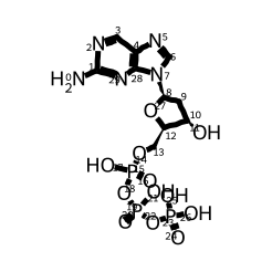 Nc1ncc2ncn([C@H]3C[C@H](O)[C@@H](COP(=O)(O)OP(=O)(O)OP(=O)(O)O)O3)c2n1